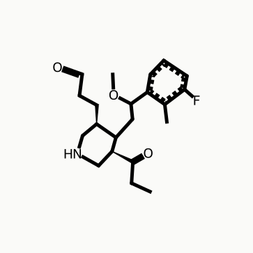 CCC(=O)[C@H]1CNC[C@@H](CCC=O)C1CC(OC)c1cccc(F)c1C